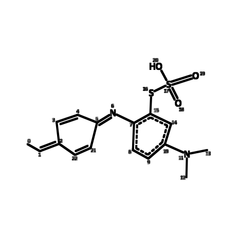 CC=C1C=CC(=Nc2ccc(N(C)C)cc2SS(=O)(=O)O)C=C1